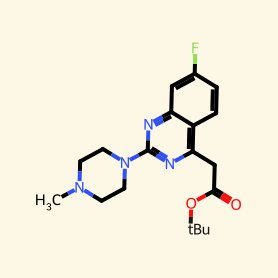 CN1CCN(c2nc(CC(=O)OC(C)(C)C)c3ccc(F)cc3n2)CC1